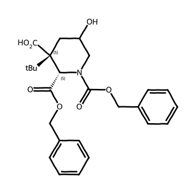 CC(C)(C)[C@@]1(C(=O)O)CC(O)CN(C(=O)OCc2ccccc2)[C@@H]1C(=O)OCc1ccccc1